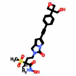 C[C@@](CCN1Cc2cc(C#Cc3ccc(C4(CO)COC4)cc3)cn2C1=O)(C(=O)NO)S(C)(=O)=O